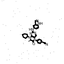 C[C@@H]1C(=O)N(c2ccc(C#N)cc2)c2cnc(Nc3ccc4[nH]ncc4c3)nc2N1C1CCCCC1